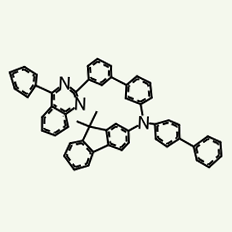 CC1(C)c2ccccc2-c2ccc(N(c3ccc(-c4ccccc4)cc3)c3cccc(-c4cccc(-c5nc(-c6ccccc6)c6ccccc6n5)c4)c3)cc21